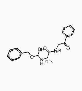 C[C@H](NC(O)OCc1ccccc1)C(=O)NCC(=O)c1ccccc1